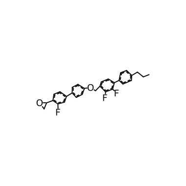 CCCc1ccc(-c2ccc(COc3ccc(-c4ccc(C5CO5)c(F)c4)cc3)c(F)c2F)cc1